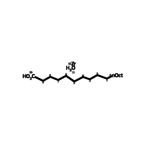 CCCCCCCCCCCCCCCCCC(=O)O.O.[Zr]